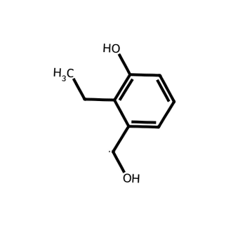 CCc1c(O)cccc1[CH]O